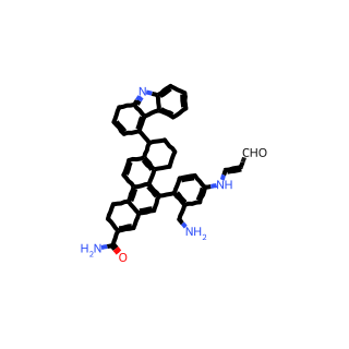 NCc1cc(NC=CC=O)ccc1-c1cc2c(c3ccc4c(c13)CCCC4C1=C3C(=Nc4ccccc43)CC=C1)CCC(C(N)=O)=C2